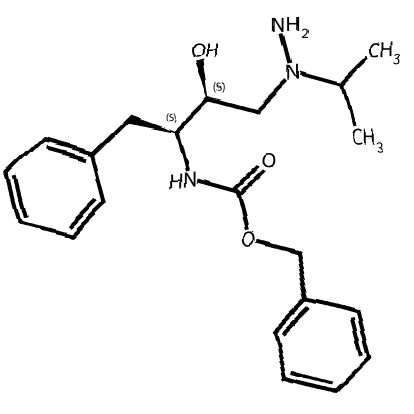 CC(C)N(N)C[C@H](O)[C@H](Cc1ccccc1)NC(=O)OCc1ccccc1